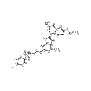 COCc1cnc2c(-c3nc4c(C)cc(OCCNS(=O)(=O)c5ccc(F)cc5)cc4s3)cc(Cl)cc2n1